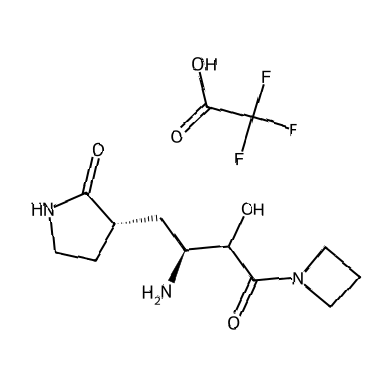 N[C@@H](C[C@@H]1CCNC1=O)C(O)C(=O)N1CCC1.O=C(O)C(F)(F)F